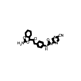 N#Cc1cnc(NC(=O)Nc2ccc(CC(Cl)C(OC(N)=O)C3CCCCC3)cc2)cn1